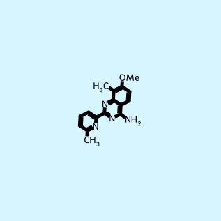 COc1ccc2c(N)nc(-c3cccc(C)n3)nc2c1C